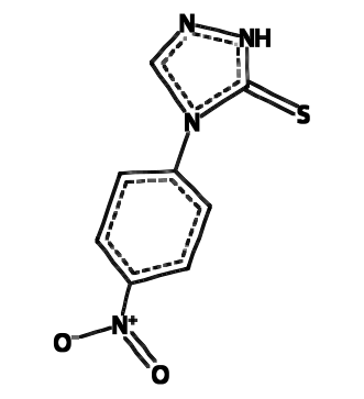 O=[N+]([O-])c1ccc(-n2cn[nH]c2=S)cc1